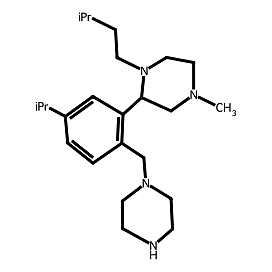 CC(C)CCN1CCN(C)CC1c1cc(C(C)C)ccc1CN1CCNCC1